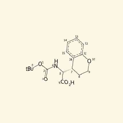 CC(C)(C)OC(=O)NC(C(=O)O)[C@H]1CCOc2ccccc21